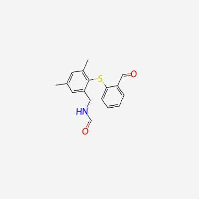 Cc1cc(C)c(Sc2ccccc2C=O)c(CNC=O)c1